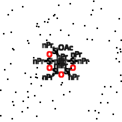 CCC[Si](CCC)(CCC)O[Si](CCC)(CCC)O[Si](CCC)(CCC)O[Si](CCC)(CCC)O[Si](CCC)(CCC)OC(C)=O